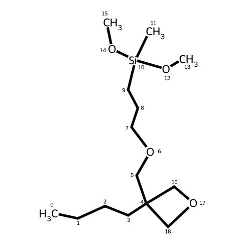 CCCCC1(COCCC[Si](C)(OC)OC)COC1